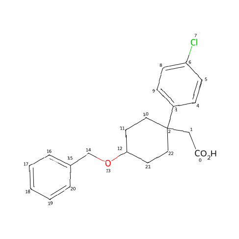 O=C(O)CC1(c2ccc(Cl)cc2)CCC(OCc2ccccc2)CC1